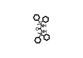 C[Si](NC(=O)N[Si](C)(c1ccccc1)c1ccccc1)(c1ccccc1)c1ccccc1